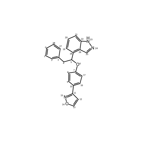 c1ccc(CC(Oc2ccc(-c3ccon3)cc2)c2cccc3[nH]ncc23)cc1